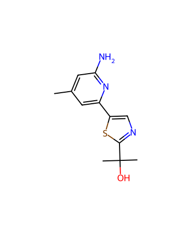 Cc1cc(N)nc(-c2cnc(C(C)(C)O)s2)c1